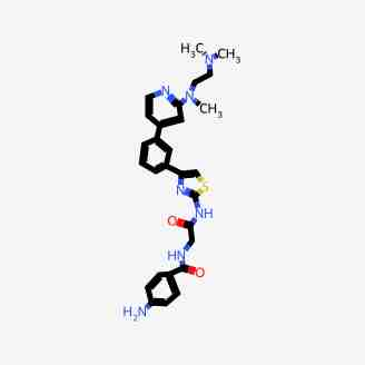 CN(C)CCN(C)c1cc(-c2cccc(-c3csc(NC(=O)CNC(=O)c4ccc(N)cc4)n3)c2)ccn1